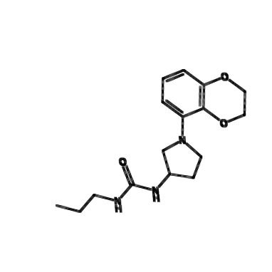 CCCNC(=O)NC1CCN(c2cccc3c2OCCO3)C1